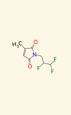 CC1=CC(=O)N(CC(F)C(F)F)C1=O